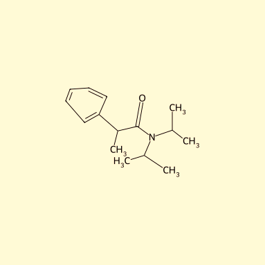 CC(C(=O)N(C(C)C)C(C)C)c1ccccc1